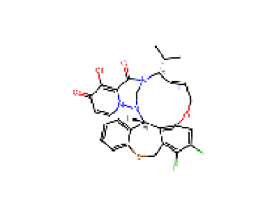 CC(C)[C@@H]1/C=C/COc2cc(F)c(F)c3c2[C@H](c2ccccc2SC3)N2CN1C(=O)c1c(O)c(=O)ccn12